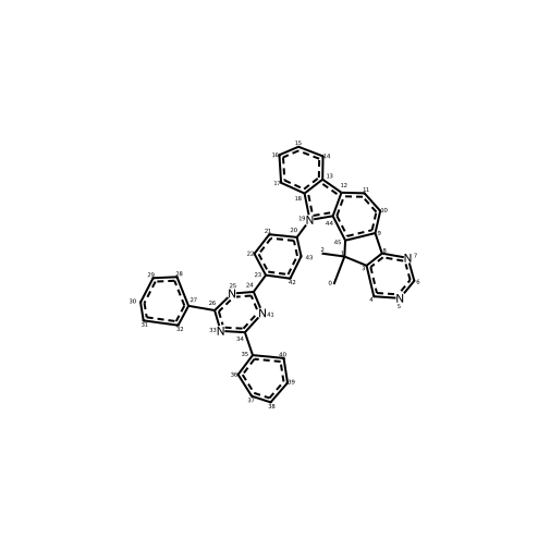 CC1(C)c2cncnc2-c2ccc3c4ccccc4n(-c4ccc(-c5nc(-c6ccccc6)nc(-c6ccccc6)n5)cc4)c3c21